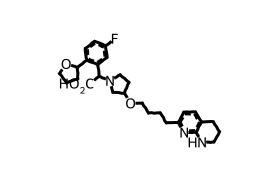 O=C(O)C(c1cc(F)ccc1C1CCCO1)N1CCC(OCCCCc2ccc3c(n2)NCCC3)C1